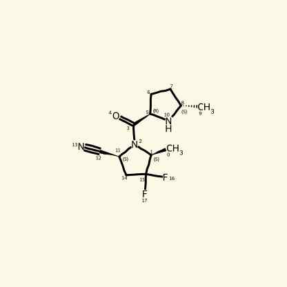 C[C@@H]1N(C(=O)[C@H]2CC[C@H](C)N2)[C@H](C#N)CC1(F)F